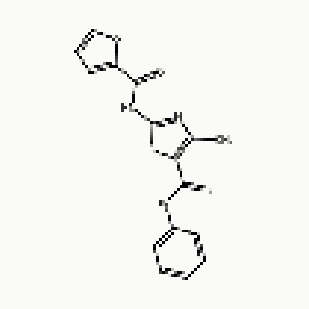 Cc1nc(NC(=O)c2ccco2)sc1C(=O)Nc1ccccc1